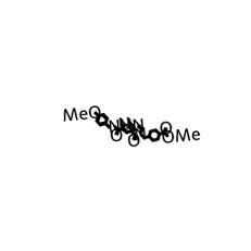 COC(=O)C1CCC(Cn2cnc3cnc(C(=O)NCc4ccc(OC)cc4)cc3c2=O)CC1